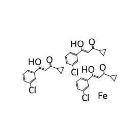 O=C(C=C(O)c1cccc(Cl)c1)C1CC1.O=C(C=C(O)c1cccc(Cl)c1)C1CC1.O=C(C=C(O)c1cccc(Cl)c1)C1CC1.[Fe]